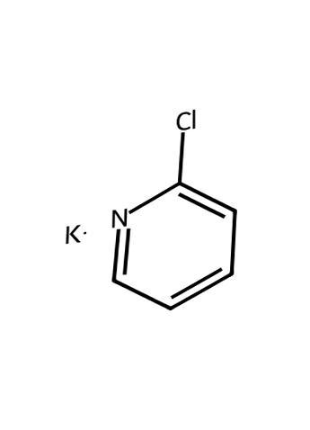 Clc1ccccn1.[K]